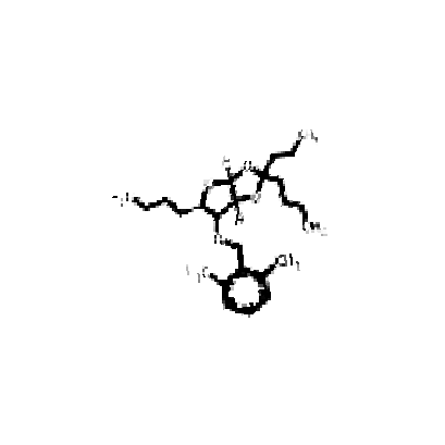 CCCC[C@H]1O[C@@H]2OC(CCC)(CCCC)O[C@@H]2[C@H]1OCc1c(C)cccc1C